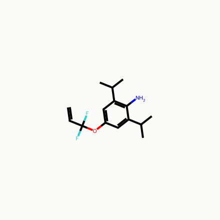 C=CC(F)(F)Oc1cc(C(C)C)c(N)c(C(C)C)c1